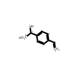 C=Cc1ccc(C(CCC)C(=O)O)cc1